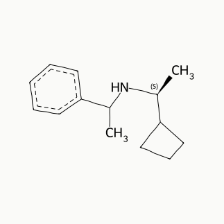 CC(N[C@@H](C)C1CCC1)c1ccccc1